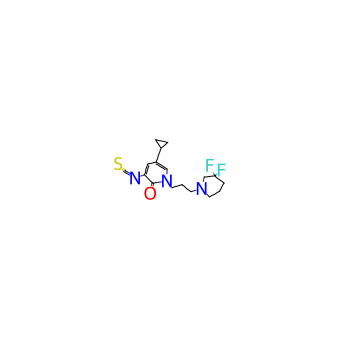 O=c1c(N=C=S)cc(C2CC2)cn1CCCN1CCCC(F)(F)C1